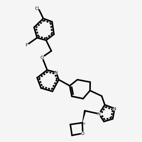 Fc1cc(Cl)ccc1COc1cccc(C2=CCC(Cc3nccn3C[C@@H]3CCO3)CC2)n1